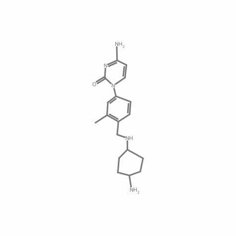 Cc1cc(-n2ccc(N)nc2=O)ccc1CNC1CCC(N)CC1